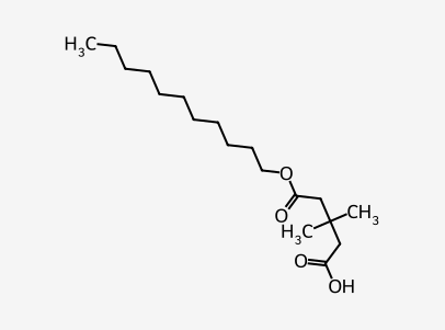 CCCCCCCCCCCOC(=O)CC(C)(C)CC(=O)O